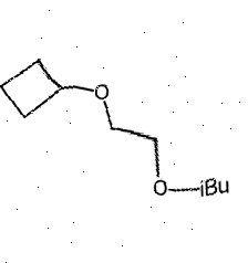 CCC(C)OCCOC1CCC1